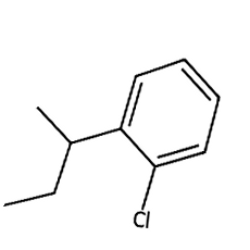 CCC(C)c1ccccc1Cl